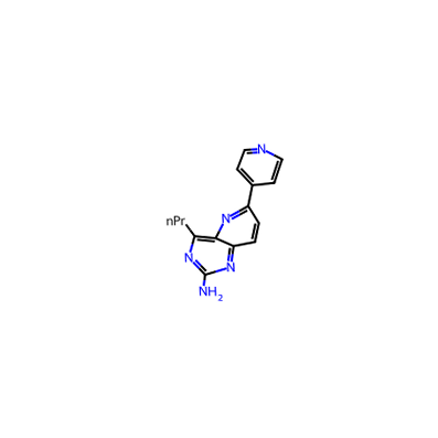 CCCc1nc(N)nc2ccc(-c3ccncc3)nc12